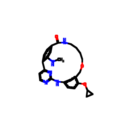 CNc1cc2ccc1-c1ccnc(n1)Nc1ccc(OC3CC3)c(c1)COCCCCNC2=O